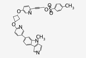 Cc1ccc(S(=O)(=O)OCC#Cc2ccc(O[C@H]3C[C@H](Oc4ccc(-c5ccc6c7cnccc7n(C)c6c5)cn4)C3)cn2)cc1